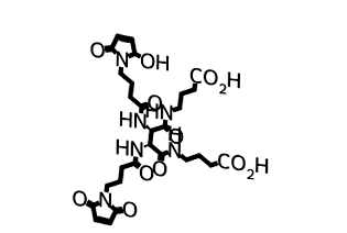 O=C(O)CCCNC(=O)[C@H](NC(=O)CCCN1C(=O)C=CC1=O)[C@@H](NC(=O)CCCN1C(=O)C=CC1O)C(=O)NCCCC(=O)O